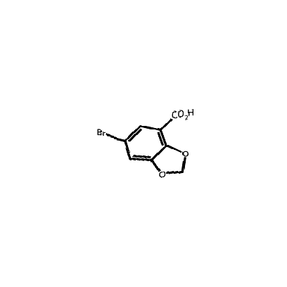 O=C(O)c1cc(Br)cc2c1OCO2